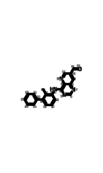 Cc1c(Nc2ncnc3cc(C=O)cnc23)cccc1-c1ccccc1